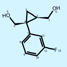 OC[C@@H]1C[C@@]1(CO)c1cccc(F)c1